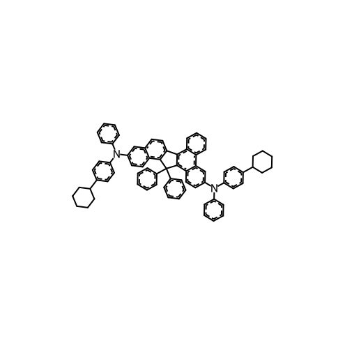 c1ccc(N(c2ccc(C3CCCCC3)cc2)c2ccc3c4c(ccc3c2)-c2c(c3ccc(N(c5ccccc5)c5ccc(C6CCCCC6)cc5)cc3c3ccccc23)C4(c2ccccc2)c2ccccc2)cc1